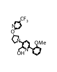 COc1ccccc1-c1ccc(N2CC[C@H](Oc3ccc(C(F)(F)F)cn3)C2)c(CO)n1